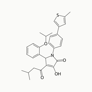 Cc1cc(-c2ccc(N3C(=O)C(O)=C(C(=O)CC(C)C)C3c3ccccc3OC(C)C)cc2)cs1